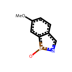 COc1ccc2cn[s+]([O-])c2c1